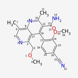 COCc1ncc(C)c2nc(C)c(C(N)=O)c(-c3ccc(C#N)cc3OC)c12